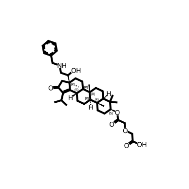 CC(C)C1=C2[C@H]3CC[C@@H]4[C@@]5(C)CC[C@H](OC(=O)COCC(=O)O)C(C)(C)[C@@H]5CC[C@@]4(C)[C@]3(C)CC[C@@]2(C(O)CNCc2ccccc2)CC1=O